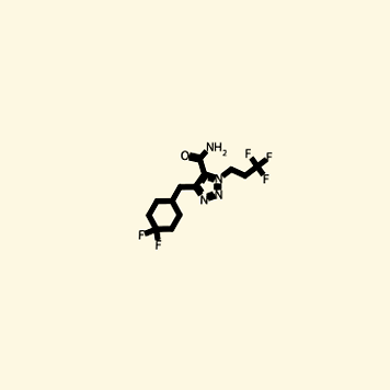 NC(=O)c1c(CC2CCC(F)(F)CC2)nnn1CCC(F)(F)F